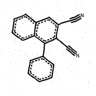 N#Cc1cc2ccccc2c(-c2ccccc2)c1C#N